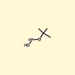 CC(C)(C)OPO